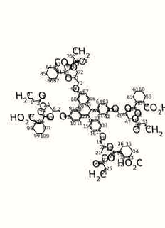 C=CC(=O)OCC(COc1ccc(C(c2ccc(OCC(COC(=O)C=C)OC(=O)C3=C(C(=O)O)CCCC3)cc2)C(c2ccc(OCC(COC(=O)C=C)OC(=O)C3=C(C(=O)O)CCCC3)cc2)c2ccc(OCC(COC(=O)C=C)OC(=O)C3=C(C(=O)O)CCCC3)cc2)cc1)OC(=O)C1=C(C(=O)O)CCCC1